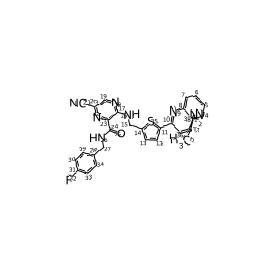 CN1CN=C2C=CC=C3N=C(c4ccc(CNc5ncc(C#N)nc5C(=O)NCc5ccc(F)cc5)s4)C=CC321